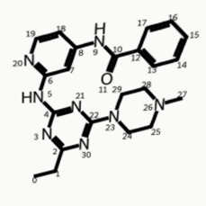 CCc1nc(Nc2cc(NC(=O)c3ccccc3)ccn2)nc(N2CCN(C)CC2)n1